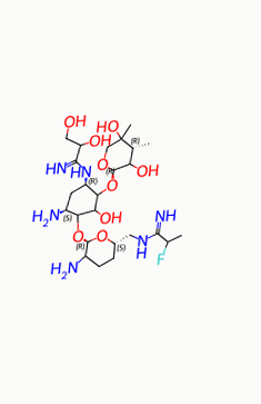 CC(F)C(=N)NC[C@@H]1CCC(N)[C@@H](OC2C(O)C(O[C@H]3OCC(C)(O)[C@H](C)C3O)[C@H](NC(=N)C(O)CO)C[C@@H]2N)O1